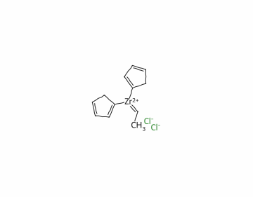 C[CH]=[Zr+2]([C]1=CC=CC1)[C]1=CC=CC1.[Cl-].[Cl-]